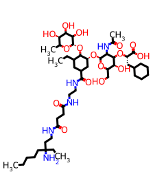 CCCCCC(N)(CC)CCNC(=O)CCC(=O)NCCNC(=O)C1CC(CC)C(O[C@@H]2OC(C)[C@@H](O)C(O)C2O)[C@H](O[C@@H]2OC(CO)[C@H](O)C(O[C@@H](CC3CCCCC3)C(=O)O)C2NC(C)=O)C1